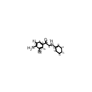 Nc1c(F)cc(C(=O)CNC2CCCCC2)cc1Br